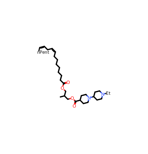 CCCCC/C=C\C/C=C\CCCCCCCC(=O)OCC(C)COC(=O)C1CCN(C2CCN(CC)CC2)CC1